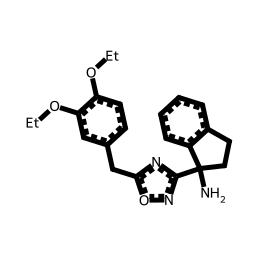 CCOc1ccc(Cc2nc(C3(N)CCc4ccccc43)no2)cc1OCC